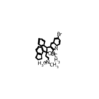 COc1nc2ccc(Br)cc2cc1C(c1ccccc1)C(O)(CCN(C)C)c1cccc2c1CCC2